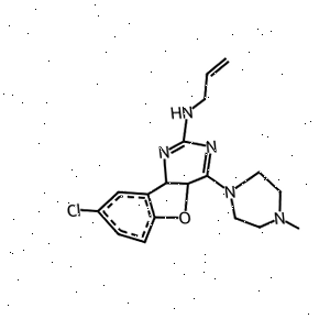 C=CCNC1=NC2c3cc(Cl)ccc3OC2C(N2CCN(C)CC2)=N1